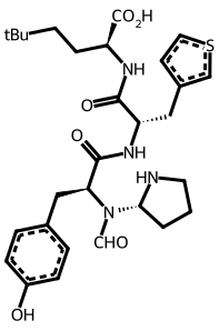 CC(C)(C)CC[C@H](NC(=O)[C@H](Cc1ccsc1)NC(=O)[C@H](Cc1ccc(O)cc1)N(C=O)[C@H]1CCCN1)C(=O)O